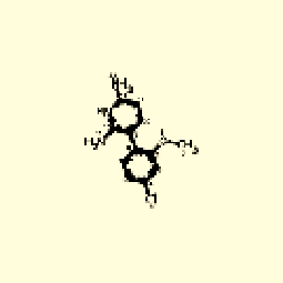 COc1cc(Cl)ccc1-c1ccc(N)nc1N